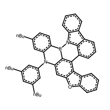 CCCCc1cc(CCCC)cc(N2c3cc(CCCC)ccc3B3c4c2cc2oc5ccccc5c2c4-c2cccc4c5ccccc5n3c24)c1